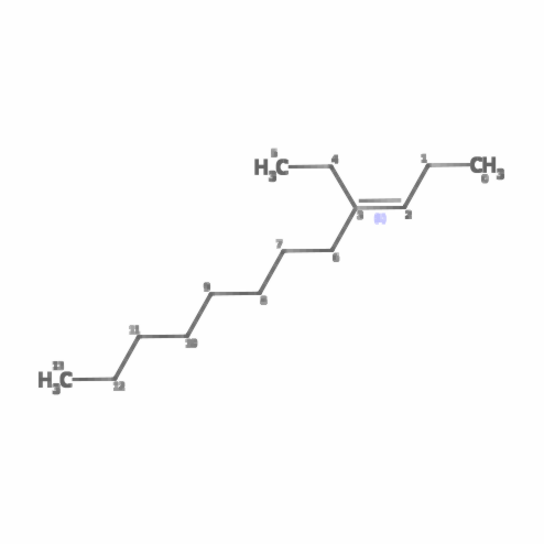 CC/C=C(\CC)CCCCCCCC